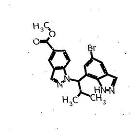 COC(=O)c1ccc2c(cnn2C(c2cc(Br)cc3cn[nH]c23)C(C)C)c1